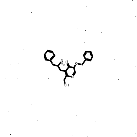 NC(CC1=C(CO)N=CC(OCc2ccccc2)C1=O)Cc1ccccc1